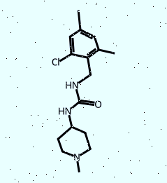 Cc1cc(C)c(CNC(=O)NC2CCN(C)CC2)c(Cl)c1